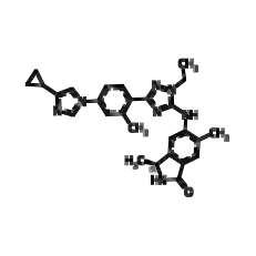 CCn1nc(-c2ccc(-n3cnc(C4CC4)c3)cc2C)nc1Nc1cc2c(cc1C)C(=O)N[C@H]2C